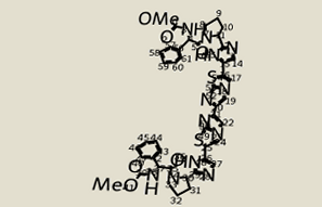 COC(=O)N[C@@H](C(=O)N1CCCC1c1ncc(-c2cn3cc(-c4cn5cc(-c6cnc([C@@H]7CCCN7C(=O)[C@H](NC(=O)OC)c7ccccc7)[nH]6)sc5n4)nc3s2)[nH]1)c1ccccc1